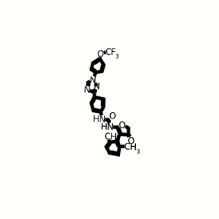 Cc1cccc(C)c1C1=C(NC(=O)Nc2ccc(-c3ncn(-c4ccc(OC(F)(F)F)cc4)n3)cc2)OCC1=O